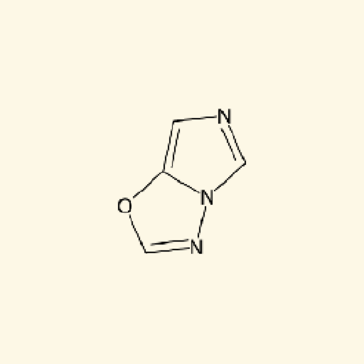 c1nn2cncc2o1